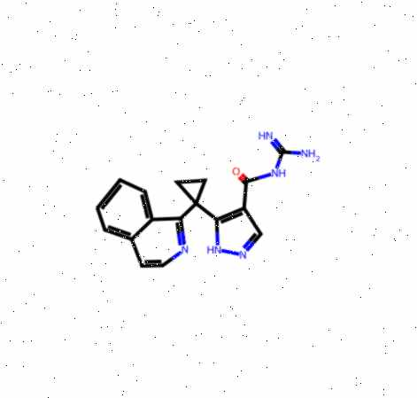 N=C(N)NC(=O)c1cn[nH]c1C1(c2nccc3ccccc23)CC1